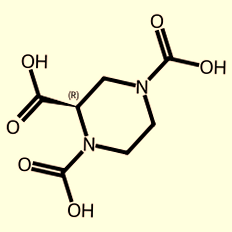 O=C(O)[C@H]1CN(C(=O)O)CCN1C(=O)O